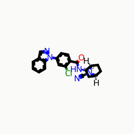 N#CN1[C@H]2CC[C@@H]1[C@H](NC(=O)c1ccc(-n3ncc4ccccc43)cc1Cl)C2